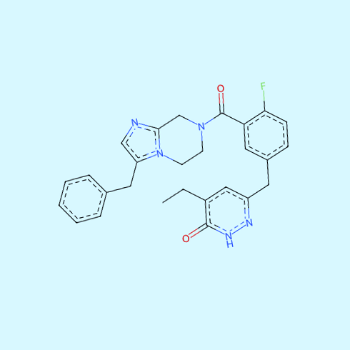 CCc1cc(Cc2ccc(F)c(C(=O)N3CCn4c(Cc5ccccc5)cnc4C3)c2)n[nH]c1=O